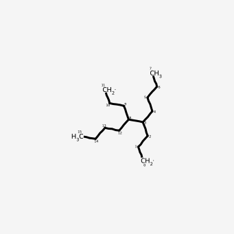 [CH2]CCC(CCCC)C(CC[CH2])CCCC